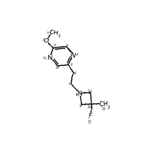 COc1cnc(CCN2CC(C)(F)C2)cn1